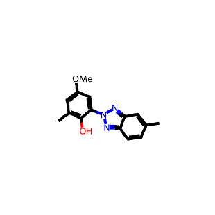 [CH2]c1cc(OC)cc(-n2nc3ccc(C)cc3n2)c1O